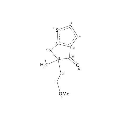 COCCC1(C)Sc2sccc2C1=O